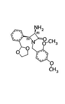 COc1ccc(CN2C(=O)[C@H](N)[C@@H]2c2ccccc2C2OCCO2)c(OC)c1